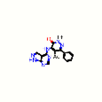 CCn1nc(-c2ccccc2)c(C(C)=O)c(Nc2ncnc3[nH]ncc23)c1=O